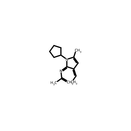 C=C(C)/N=C1\C(=C/C)C=C(C)N1C1CCCC1